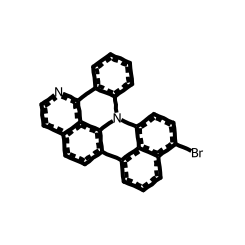 Brc1ccc2c3c(cccc13)-c1ccc3ccnc4c3c1N2c1ccccc1-4